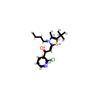 CCCCN1C(=CC(=O)c2cccnc2Cl)SC(C(C)(C)C)=C1C